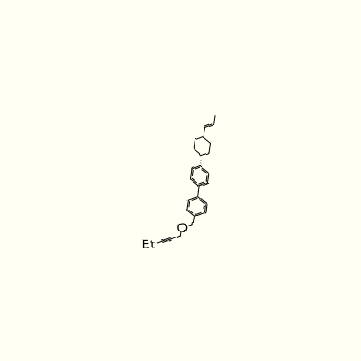 CC=C[C@H]1CC[C@H](c2ccc(-c3ccc(COCC#CCC)cc3)cc2)CC1